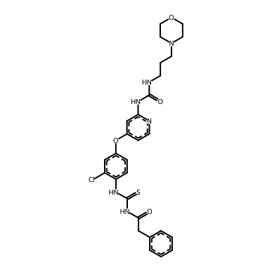 O=C(Cc1ccccc1)NC(=S)Nc1ccc(Oc2ccnc(NC(=O)NCCCN3CCOCC3)c2)cc1Cl